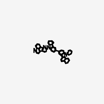 c1ccc(-n2c3ccc(-c4ccc5c(c4)c4ccccc4n5-c4ccc5c(n4)-c4cccc6nccc-5c46)cc3c3ccc4ccccc4c32)cc1